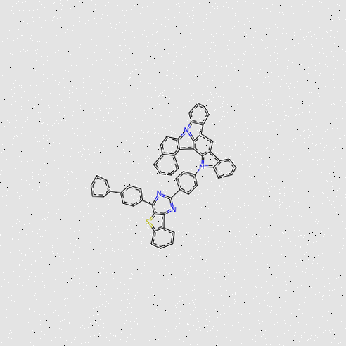 c1ccc(-c2ccc(-c3nc(-c4ccc(-n5c6ccccc6c6cc7c8ccccc8n8c9ccc%10ccccc%10c9c(c65)c78)cc4)nc4c3sc3ccccc34)cc2)cc1